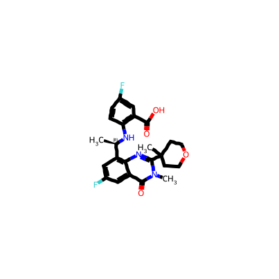 C[C@@H](Nc1ccc(F)cc1C(=O)O)c1cc(F)cc2c(=O)n(C)c(C3(C)CCOCC3)nc12